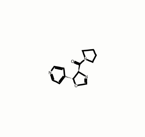 O=C([C@H]1N=CO[C@@H]1c1ccncc1)N1CCCC1